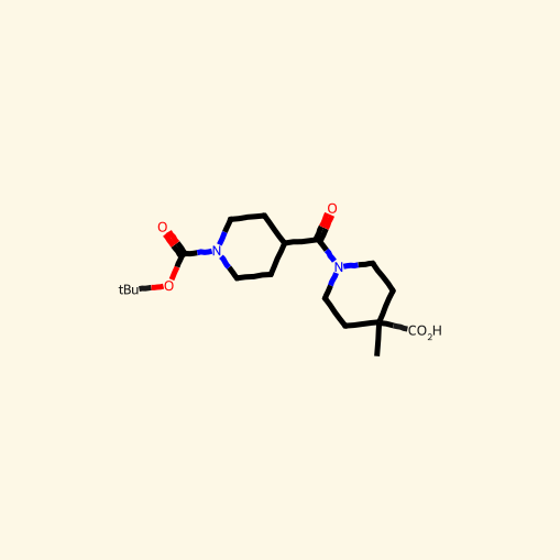 CC(C)(C)OC(=O)N1CCC(C(=O)N2CCC(C)(C(=O)O)CC2)CC1